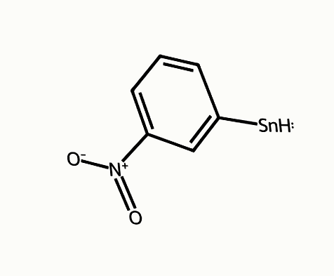 O=[N+]([O-])c1ccc[c]([SnH])c1